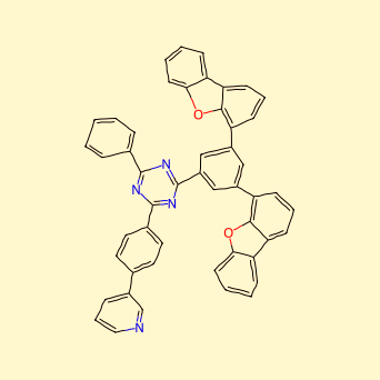 c1ccc(-c2nc(-c3ccc(-c4cccnc4)cc3)nc(-c3cc(-c4cccc5c4oc4ccccc45)cc(-c4cccc5c4oc4ccccc45)c3)n2)cc1